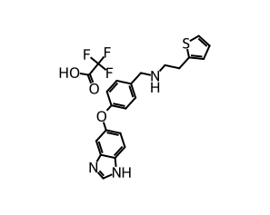 O=C(O)C(F)(F)F.c1csc(CCNCc2ccc(Oc3ccc4[nH]cnc4c3)cc2)c1